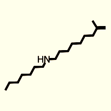 C=C(C)CCCCCCCNCCCCCCC